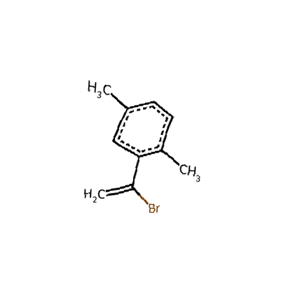 C=C(Br)c1cc(C)ccc1C